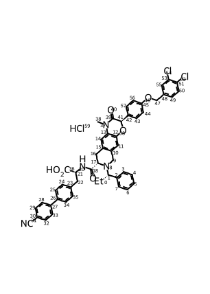 CC[C@@H](c1ccccc1)N1Cc2cc3c(cc2C[C@H]1C(=O)N[C@@H](Cc1ccc(-c2ccc(C#N)cc2)cc1)C(=O)O)N(C)C(=O)[C@@H](c1ccc(OCc2ccc(Cl)c(Cl)c2)cc1)O3.Cl